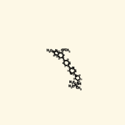 COc1cc(-c2ccc(-c3cnc(N4CC[C@@H](NC(C)(C)C)C4)nn3)nc2)cc2cn(C)nc12